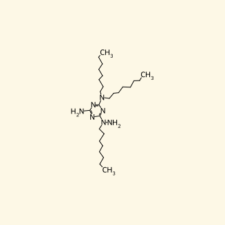 CCCCCCCCN(N)c1nc(N)nc(N(CCCCCCCC)CCCCCCCC)n1